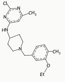 CCOc1cc(CN2CCC(Nc3cc(C)nc(Cl)n3)CC2)ccc1C